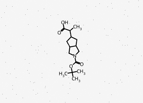 CC(C(=O)O)C1CC2CN(C(=O)OC(C)(C)C)CC2C1